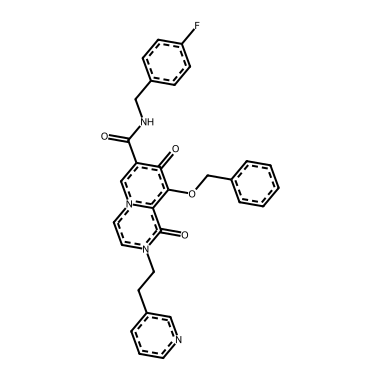 O=C(NCc1ccc(F)cc1)c1cn2ccn(CCc3cccnc3)c(=O)c2c(OCc2ccccc2)c1=O